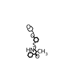 Cc1c(CSc2cccc(OCC3CCOCC3)c2)[nH]c2ccccc2c1=O